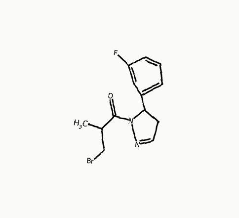 CC(CBr)C(=O)N1N=CCC1c1cccc(F)c1